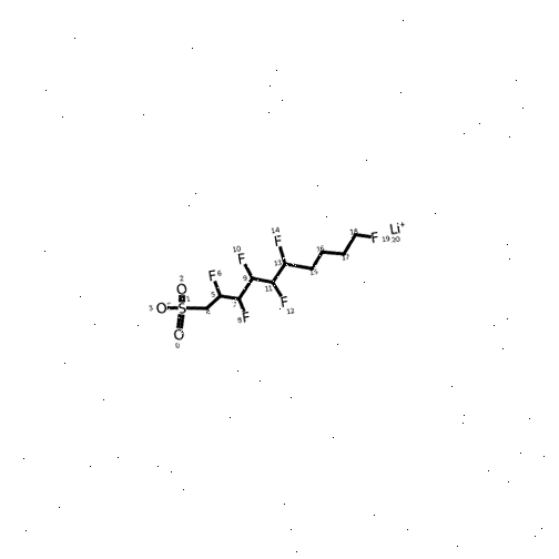 O=S(=O)([O-])CC(F)C(F)C(F)C(F)C(F)CCCCF.[Li+]